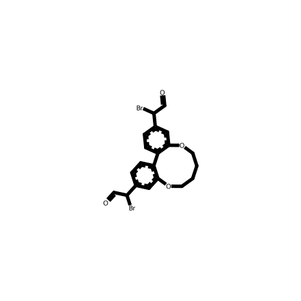 O=CC(Br)c1ccc2c(c1)OCCCCOc1cc(C(Br)C=O)ccc1-2